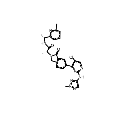 Cc1cccc([C@@H](C)NC(=O)[C@@H](C)N2Cc3ccc(-c4nc(Nc5cnn(C)n5)ncc4Cl)cc3C2=O)n1